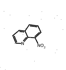 O=[N+]([O-])c1cccc2cc[c]nc12